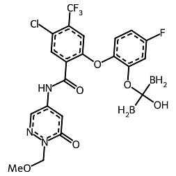 BC(B)(O)Oc1cc(F)ccc1Oc1cc(C(F)(F)F)c(Cl)cc1C(=O)Nc1cnn(COC)c(=O)c1